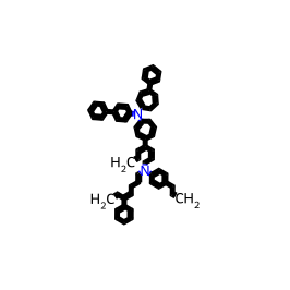 C=C/C=C(\C=C/CN(/C=C/C/C=C(\C=C)C1=CCCC=C1)c1ccc(CC=C)cc1)C1=CC=C(N(C2=CC=C(c3ccccc3)C=CC2)c2ccc(-c3ccccc3)cc2)CC=C1